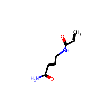 C=CC(=O)NCC=CC(N)=O